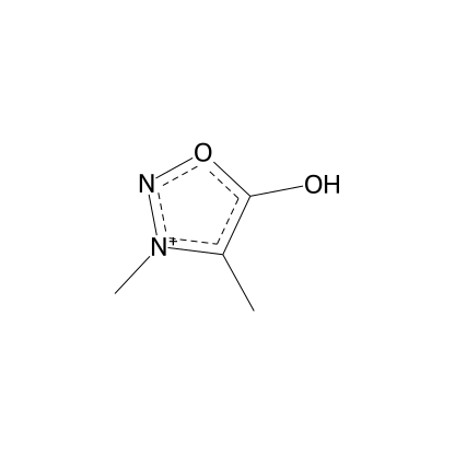 Cc1c(O)on[n+]1C